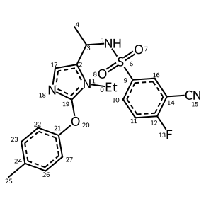 CCn1c(C(C)NS(=O)(=O)c2ccc(F)c(C#N)c2)cnc1Oc1ccc(C)cc1